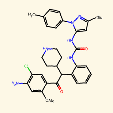 COc1cc(N)c(Cl)cc1C(=O)C(c1ccccc1NC(=O)Nc1cc(C(C)(C)C)nn1-c1ccc(C)cc1)C1CCNCC1